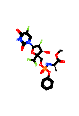 CC(C)OC(=O)[C@H](C)NP(=O)(OC[C@@]1(C(F)F)O[C@@H](n2cc(F)c(=O)[nH]c2=O)[C@H](F)[C@@H]1O)Oc1ccccc1